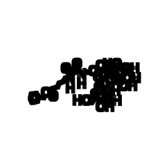 O=C(CCCCCNc1c(NCCO[C@@H]2O[C@H](CO[C@H]3O[C@H](CO)[C@@H](O)[C@H](O)[C@@H]3O)[C@@H](O)[C@H](O[C@H]3O[C@H](CO)[C@@H](O)[C@H](O)[C@@H]3O)[C@@H]2O)c(=O)c1=O)OCc1ccccc1